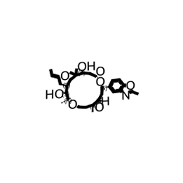 CC=CC[C@H]1C(=O)C(C)(C)[C@@H](O)CC(=O)O[C@H](c2ccc3oc(C)nc3c2)C[C@@H]2O[C@]2(C)CCO[C@H](C)[C@H]1O